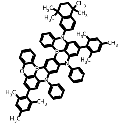 Cc1cc(C)c(-c2cc3c4c(c2)N(c2ccccc2)c2cc5c(cc2B4c2ccccc2O3)B2c3ccccc3N(c3ccc4c(c3)C(C)(C)CCC4(C)C)c3cc(-c4c(C)cc(C)cc4C)cc(c32)N5c2ccccc2)c(C)c1